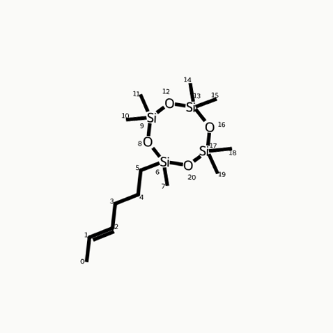 CC=CCCC[Si]1(C)O[Si](C)(C)O[Si](C)(C)O[Si](C)(C)O1